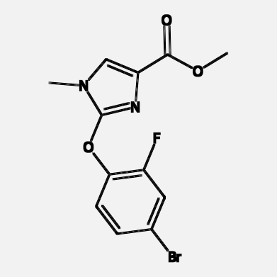 COC(=O)c1cn(C)c(Oc2ccc(Br)cc2F)n1